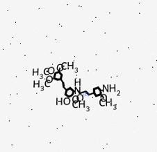 COc1cc(/C=C/C(=O)Nc2cc(C=Cc3cc(OC)c(OC)c(OC)c3)cc(O)c2OC)ccc1N